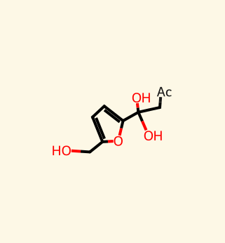 CC(=O)CC(O)(O)c1ccc(CO)o1